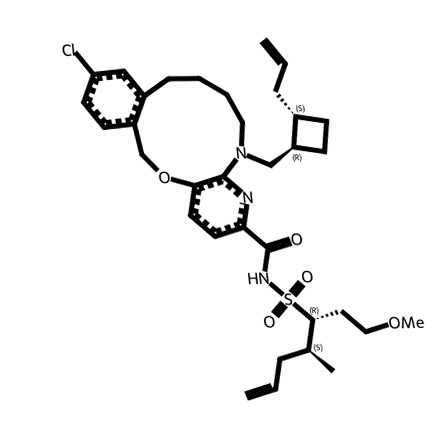 C=CC[C@@H]1CC[C@H]1CN1CCCCc2cc(Cl)ccc2COc2ccc(C(=O)NS(=O)(=O)[C@H](CCOC)[C@@H](C)CC=C)nc21